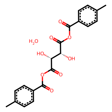 Cc1ccc(C(=O)OC(=O)[C@H](O)[C@@H](O)C(=O)OC(=O)c2ccc(C)cc2)cc1.O